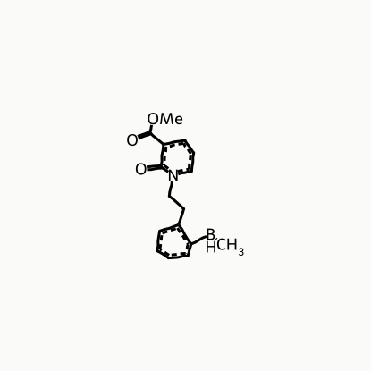 CBc1ccccc1CCn1cccc(C(=O)OC)c1=O